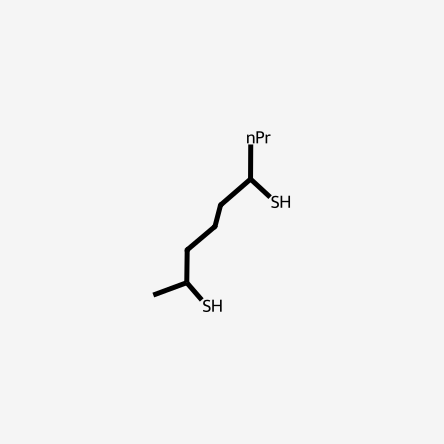 [CH2]CCC(S)CCCC(C)S